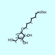 CCCCCCCCCCCCCCCCOC1O[C@H](CO)[C@H](O)[C@H]1O